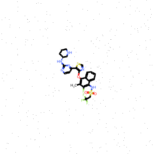 Cc1c(F)c(NS(=O)(=O)CC(F)(F)F)c2ccccc2c1Oc1ncsc1-c1ccnc(N[C@H]2CCCNC2)n1